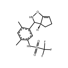 Cc1cc(C)c(C2NOC3=CCC[C@@H]32)cc1NS(=O)(=O)C(F)(F)F